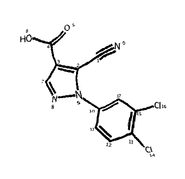 N#Cc1c(C(=O)O)cnn1-c1ccc(Cl)c(Cl)c1